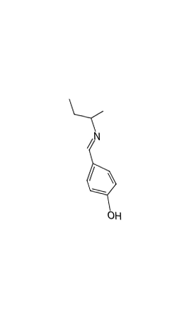 CCC(C)N=Cc1ccc(O)cc1